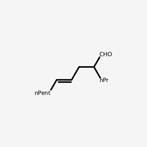 CCCCCC=CCC(C=O)CCC